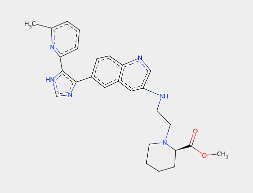 COC(=O)[C@H]1CCCCN1CCNc1cnc2ccc(-c3nc[nH]c3-c3cccc(C)n3)cc2c1